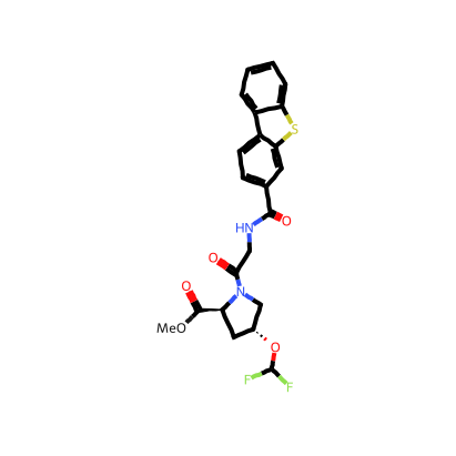 COC(=O)[C@@H]1C[C@@H](OC(F)F)CN1C(=O)CNC(=O)c1ccc2c(c1)sc1ccccc12